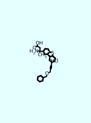 CC(N)(CC(=O)O)c1ccc2sc3ccc(C#CCOCc4ccccc4)cc3c2c1.Cl